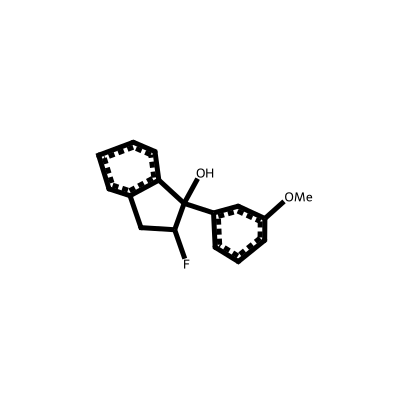 COc1cccc(C2(O)c3ccccc3CC2F)c1